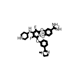 CN1CCN=C1c1cccc(Oc2nc(Oc3cc(C(=N)N)ccc3O)c(F)c(NC3CCNCC3)c2F)c1